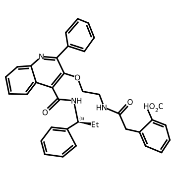 CC[C@H](NC(=O)c1c(OCCNC(=O)Cc2ccccc2C(=O)O)c(-c2ccccc2)nc2ccccc12)c1ccccc1